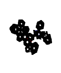 CC1CC(c2ccc3c(c2Nc2cccc(C(/N=C(\N)c4ccccc4)/N=C/c4ccccc4)c2)C(c2ccccc2)(c2ccccc2)c2ccccc2-3)=CC=C1c1ccccc1